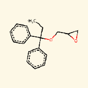 [CH2]CC(OCC1CO1)(c1ccccc1)c1ccccc1